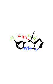 CC(F)(F)C1(O)c2cc(F)ccc2Nc2ncccc21